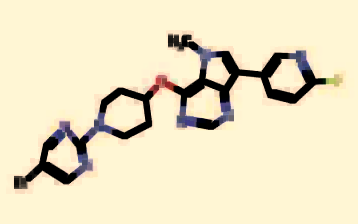 CCc1cnc(N2CCC(Oc3ncnc4c(-c5ccc(F)nc5)cn(C)c34)CC2)nc1